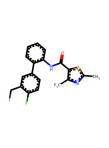 Cc1nc(C(F)(F)F)c(C(=O)Nc2ccccc2-c2ccc(F)c(CI)c2)s1